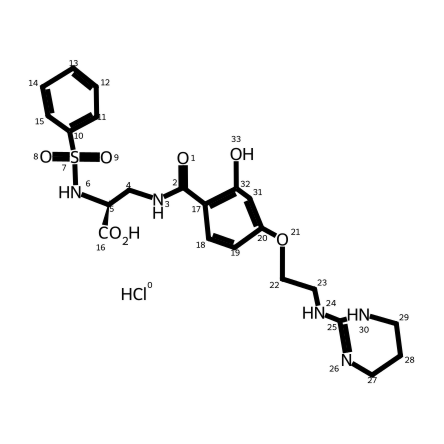 Cl.O=C(NC[C@H](NS(=O)(=O)c1ccccc1)C(=O)O)c1ccc(OCCNC2=NCCCN2)cc1O